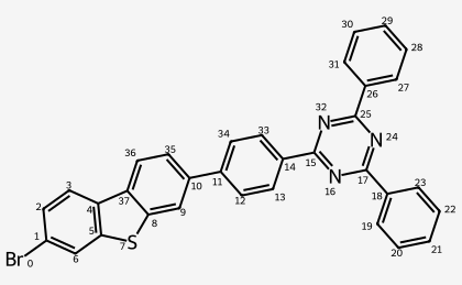 Brc1ccc2c(c1)sc1cc(-c3ccc(-c4nc(-c5ccccc5)nc(-c5ccccc5)n4)cc3)ccc12